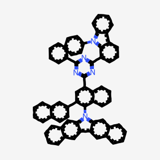 c1ccc(-c2nc(-c3cc(-c4ccc5ccccc5c4)c(-n4c5cc6ccccc6cc5c5cc6ccccc6cc54)c4ccccc34)nc(-c3cccc4c5ccccc5n(-c5ccccc5)c34)n2)cc1